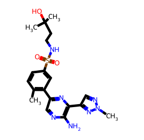 Cc1ccc(S(=O)(=O)NCCC(C)(C)O)cc1-c1cnc(N)c(-c2cnn(C)n2)n1